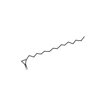 CCCCCCCCCCCCCCC[C]1CC1=O